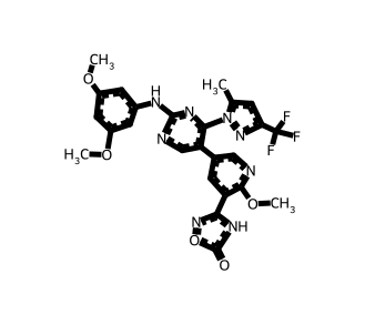 COc1cc(Nc2ncc(-c3cnc(OC)c(-c4noc(=O)[nH]4)c3)c(-n3nc(C(F)(F)F)cc3C)n2)cc(OC)c1